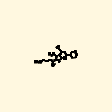 COCCC[S+]([O-])c1sc2nc(-c3cccnc3)cc(C3CC3)c2c1N